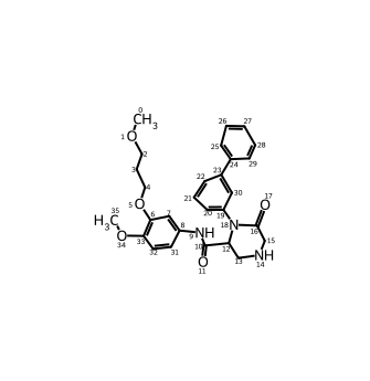 COCCCOc1cc(NC(=O)C2CNCC(=O)N2c2cccc(-c3ccccc3)c2)ccc1OC